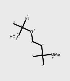 CCC(C)(OCCC(C)(C)OC)C(=O)O